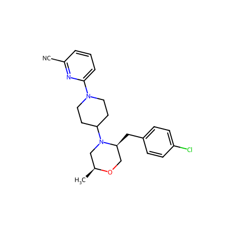 C[C@H]1CN(C2CCN(c3cccc(C#N)n3)CC2)[C@@H](Cc2ccc(Cl)cc2)CO1